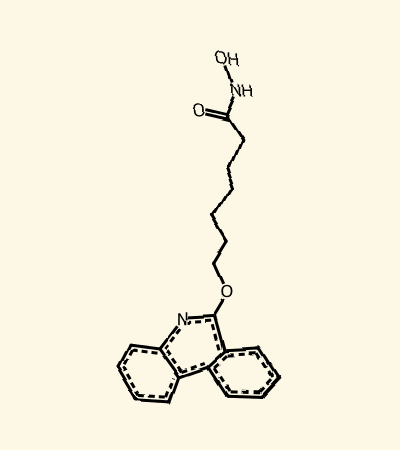 O=C(CCCCCCOc1nc2ccccc2c2ccccc12)NO